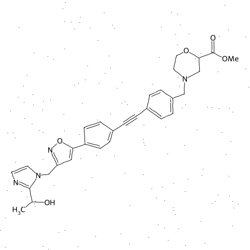 COC(=O)C1CN(Cc2ccc(C#Cc3ccc(-c4cc(Cn5ccnc5C(C)O)no4)cc3)cc2)CCO1